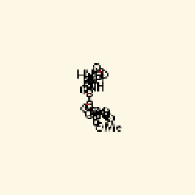 COc1ccc(CC(NC(=O)C(C)NC(=O)C2CCCOC2)C(=O)NC(CC2CCC(C3CCC(CC(NC(=O)C(Cc4ccc(S(C)(=O)=O)cc4)NC(=O)C(C)NC(=O)C4CCOCC4)C(=O)C4(C)CO4)C3)C2)C(=O)C2(C)CO2)cc1